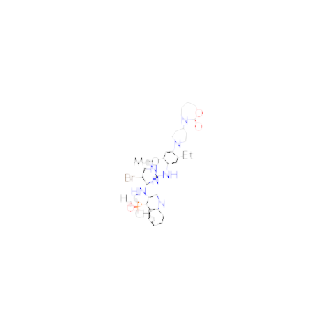 CCc1cc(Nc2ncc(Br)c(Nc3cnc4ccccc4c3P(C)(C)=O)n2)c(OC)cc1N1CCC(N2CCCCOC2=O)CC1